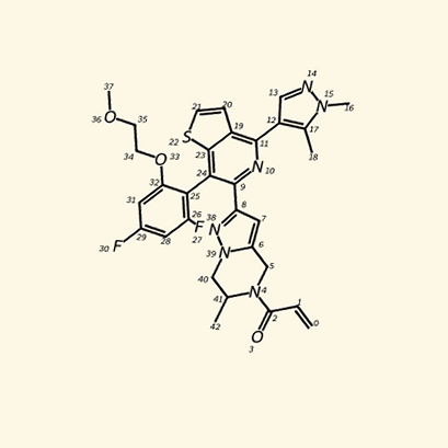 C=CC(=O)N1Cc2cc(-c3nc(-c4cnn(C)c4C)c4ccsc4c3-c3c(F)cc(F)cc3OCCOC)nn2CC1C